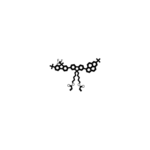 C=CC(=O)OCCCCCC1(CCCCCOC(=O)C=C)c2cc(-c3ccc4c(c3)C(C)(C(F)(F)F)c3cc(C(C)(C)C)ccc3-4)ccc2-c2ccc(-c3ccc4ccc5cc(C(C)(C)C)cc6ccc3c4c56)cc21